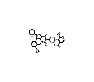 COc1nccc(C(F)F)c1N1CCC(N2C(=O)N(Cc3ccccc3C3CC3)c3nn(C4CCCCO4)cc3C2C)CC1